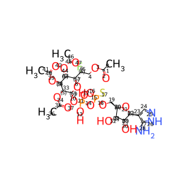 CC(=O)OC[C@H](F)[C@H]1O[C@@H](OP(=O)(O)OP(O)(=S)OC[C@H]2O[C@@H](c3cn[nH]c3N)[C@H](O)[C@@H]2O)[C@@H](OC(C)=O)[C@@H](OC(C)=O)[C@@H]1OC(C)=O